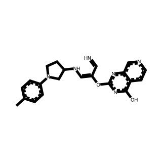 Cc1ccc(N2CCC(N/C=C(\C=N)Oc3nc(O)c4ccncc4n3)C2)cc1